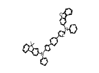 CC1(C)c2ccccc2-c2ccc(N(c3ccccc3)c3ccc(-c4ccc(-c5ccc(N(c6ccccc6)c6ccc7oc8ccccc8c7c6)cc5)cc4)cc3)cc21